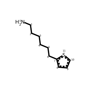 NCCCCCCc1cccs1